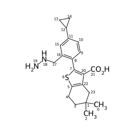 CC1(C)CCc2sc(-c3ccc(C4CC4)cc3CNN)c(C(=O)O)c2C1